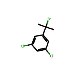 CC(C)(Br)c1cc(Cl)cc(Cl)c1